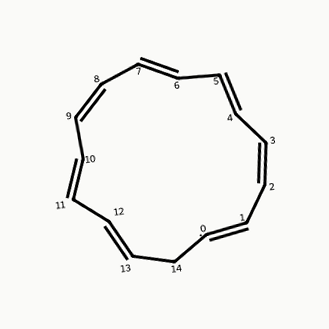 [C]1=C/C=C\C=C\C=C\C=C/C=C/C=C/C/1